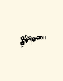 CC(C)n1cnc(-c2ccc(F)cc2)c1-c1nc(C(=O)Nc2ccc(C3CC[N+](C)(O)CC3)cc2)c[nH]1